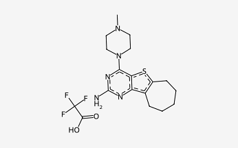 CN1CCN(c2nc(N)nc3c4c(sc23)CCCCC4)CC1.O=C(O)C(F)(F)F